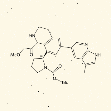 COCC(=O)C1NCCc2cc(-c3cnc4[nH]cc(C)c4c3)cc([C@@H]3CCCN3C(=O)OC(C)(C)C)c21